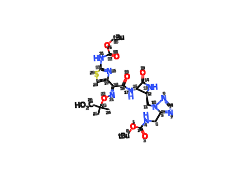 CC(C)(C)OC(=O)NCc1ncnn1C[C@@H]1NC(=O)[C@H]1NC(=O)C(=NOC(C)(C)C(=O)O)c1csc(NC(=O)OC(C)(C)C)n1